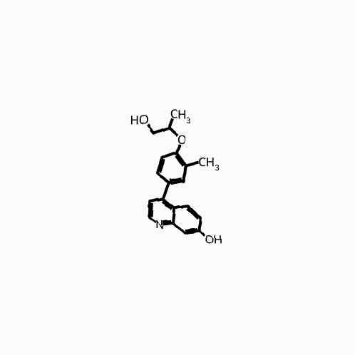 Cc1cc(-c2ccnc3cc(O)ccc23)ccc1OC(C)CO